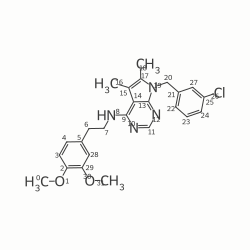 COc1ccc(CCNc2ncnc3c2c(C)c(C)n3Cc2cccc(Cl)c2)cc1OC